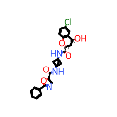 O=C(NC12CC(NC(=O)[C@H]3C[C@@H](O)c4cc(Cl)ccc4O3)(C1)C2)c1cnc(-c2ccccc2)o1